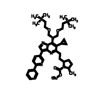 CC1CCC(CCc2nc3c(-c4ccc(-c5ccccc5)nc4)cnn3c(N(COCC[Si](C)(C)C)COCC[Si](C)(C)C)c2C2CC2)N1C(=O)OC(C)(C)C